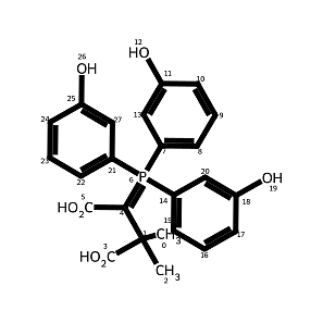 CC(C)(C(=O)O)C(C(=O)O)=P(c1cccc(O)c1)(c1cccc(O)c1)c1cccc(O)c1